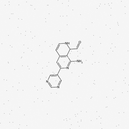 Nc1nc(-c2cncnc2)cc2c1C(C=O)NC=C2